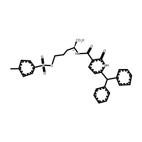 Cc1ccc(S(=O)(=O)OCCC[C@H](NC(=O)c2ccc(C(c3ccccc3)c3ccccc3)[nH]c2=O)C(=O)O)cc1